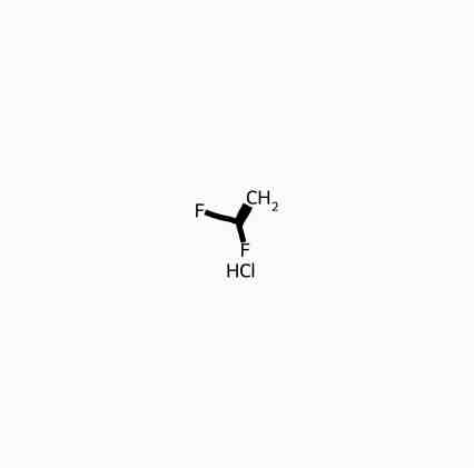 C=C(F)F.Cl